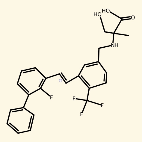 CC(CO)(NCc1ccc(C(F)(F)F)c(/C=C/c2cccc(-c3ccccc3)c2F)c1)C(=O)O